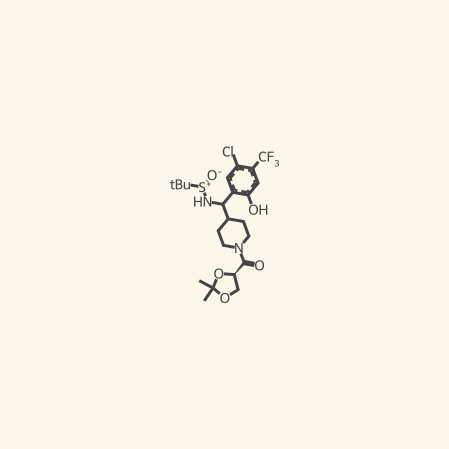 CC1(C)OC[C@H](C(=O)N2CCC(C(N[S+]([O-])C(C)(C)C)c3cc(Cl)c(C(F)(F)F)cc3O)CC2)O1